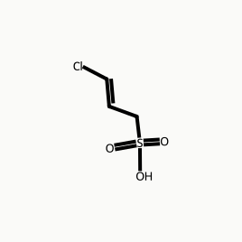 O=S(=O)(O)C/C=C/Cl